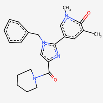 Cc1cc(-c2nc(C(=O)N3CCCCC3)cn2Cc2ccccc2)cn(C)c1=O